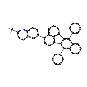 FC(F)(F)c1ccc2cc(-c3ccc4c5c(cccc35)-c3c-4c(-c4ccccc4)c4ccccc4c3-c3ccccc3)ccc2n1